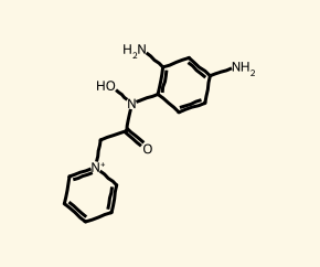 Nc1ccc(N(O)C(=O)C[n+]2ccccc2)c(N)c1